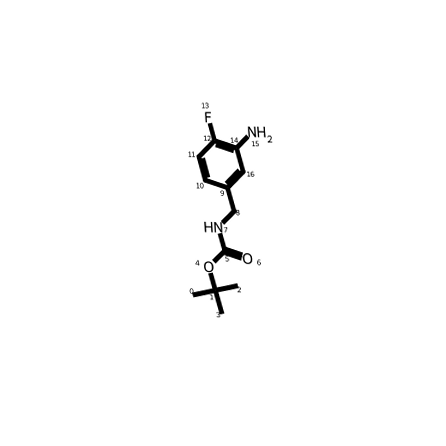 CC(C)(C)OC(=O)NCc1ccc(F)c(N)c1